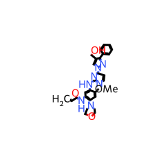 C=CC(=O)Nc1cc(Nc2nccc(-n3cc(CO)c(-c4ccccc4)n3)n2)c(OC)cc1N1CCOCC1